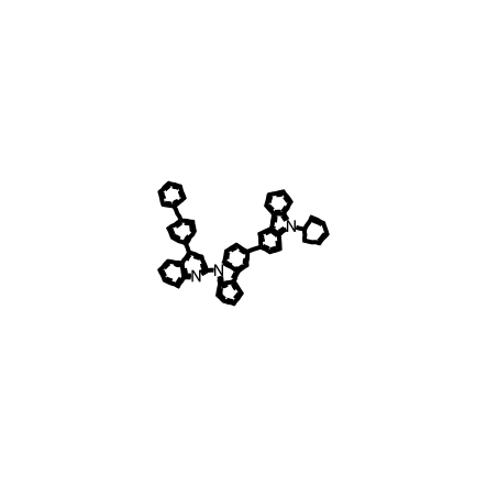 C1=CCC(n2c3ccccc3c3cc(-c4ccc5c(c4)c4ccccc4n5-c4cc(-c5ccc(-c6ccccc6)cc5)c5ccccc5n4)ccc32)C=C1